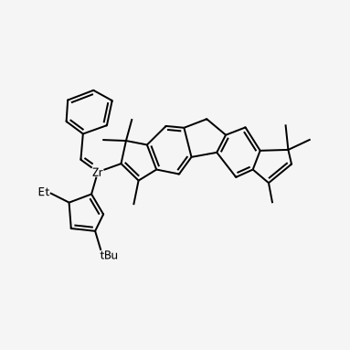 CCC1C=C(C(C)(C)C)C=[C]1[Zr](=[CH]c1ccccc1)[C]1=C(C)c2cc3c(cc2C1(C)C)Cc1cc2c(cc1-3)C(C)=CC2(C)C